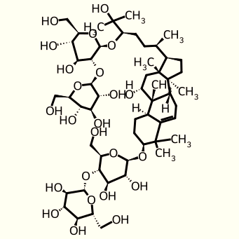 C[C@H](CC[C@@H](O[C@@H]1O[C@H](CO)[C@@H](O)[C@H](O)[C@H]1O[C@@H]1O[C@H](CO)[C@@H](O)[C@H](O)[C@H]1O)C(C)(C)O)[C@H]1CC[C@@]2(C)[C@@H]3CC=C4[C@@H](CC[C@H](O[C@@H]5O[C@H](CO)[C@@H](O[C@@H]6O[C@H](CO)[C@@H](O)[C@H](O)[C@H]6O)[C@H](O)[C@H]5O)C4(C)C)[C@]3(C)[C@H](O)C[C@]12C